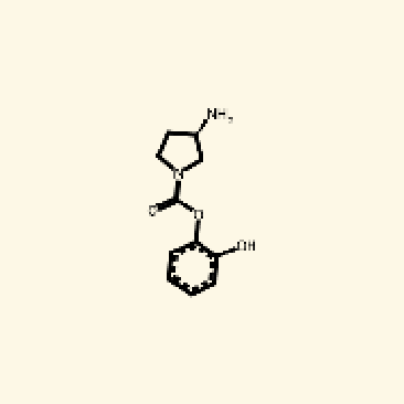 N[C@@H]1CCN(C(=O)Oc2ccccc2O)C1